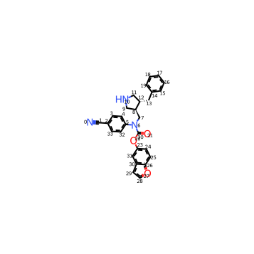 N#Cc1ccc(N(C[C@H]2CNC[C@@H]2Cc2ccccc2)C(=O)Oc2ccc3occc3c2)cc1